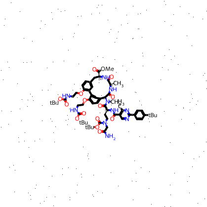 COC(=O)[C@@H]1Cc2ccc(OCCNC(=O)OC(C)(C)C)c(c2)-c2cc(ccc2OCCNC(=O)OC(C)(C)C)[C@H](N(C)C(=O)[C@H](CCN(CC(N)=O)C(=O)OC(C)(C)C)NC(=O)c2cnc(-c3ccc(C(C)(C)C)cc3)nc2C)C(=O)N[C@@H](C)C(=O)N1